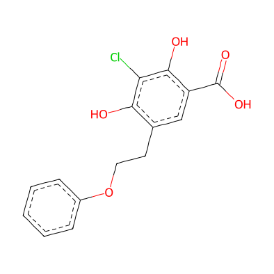 O=C(O)c1cc(CCOc2ccccc2)c(O)c(Cl)c1O